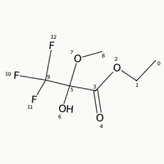 CCOC(=O)C(O)(OC)C(F)(F)F